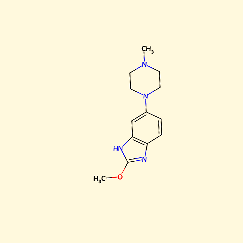 COc1nc2ccc(N3CCN(C)CC3)cc2[nH]1